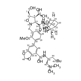 COc1c(CN2O[C@@H](CO)[C@@H]([C@H](C)O)[C@H]2C(=O)N[C@H]2C[C@H]3C[C@@H]([C@@H]2C)C3(C)C)cccc1-c1cc2c(c(C(O)N[C@H](CN(C)C)CC(C)(C)C)c1)OCO2